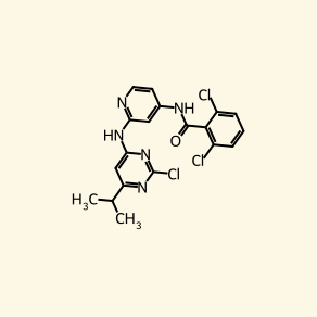 CC(C)c1cc(Nc2cc(NC(=O)c3c(Cl)cccc3Cl)ccn2)nc(Cl)n1